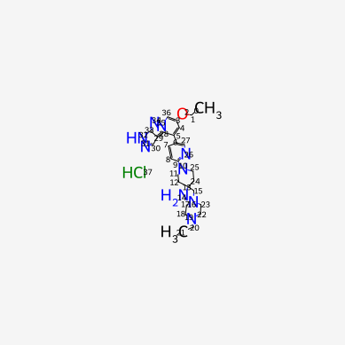 CCOc1cc(-c2ccc(N3CCC(N)(CN4CCN(CC)CC4)CC3)nc2)c2c3cn[nH]c3nn2c1.Cl